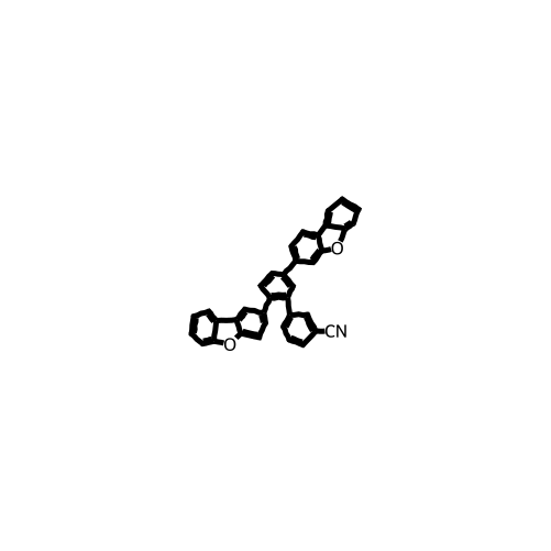 N#Cc1cccc(-c2cc(-c3ccc4c(c3)oc3ccccc34)ccc2-c2ccc3oc4ccccc4c3c2)c1